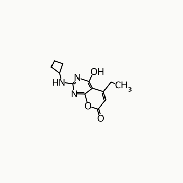 CCc1cc(=O)oc2nc(NC3CCC3)nc(O)c12